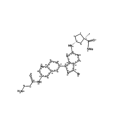 CNC(=O)[C@]1(C)CC[C@@H](Nc2ncc3c(Br)nn(-c4ccc5ncc(NC(=O)CCN)cc5c4)c3n2)C1